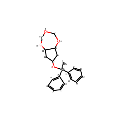 CC(C)(C)[Si](OC1CC2OCOCOC2C1)(c1ccccc1)c1ccccc1